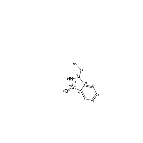 CCC1N[S+]([O-])c2ccccc21